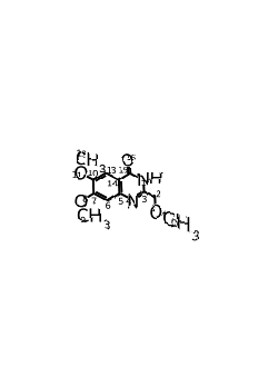 COCc1nc2cc(OC)c(OC)cc2c(=O)[nH]1